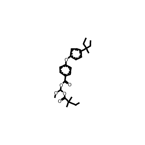 CCC(C)(C)C(=O)OC(OC)OC(=O)c1ccc(Oc2ccc(C(C)(CC)CC)cc2)cc1